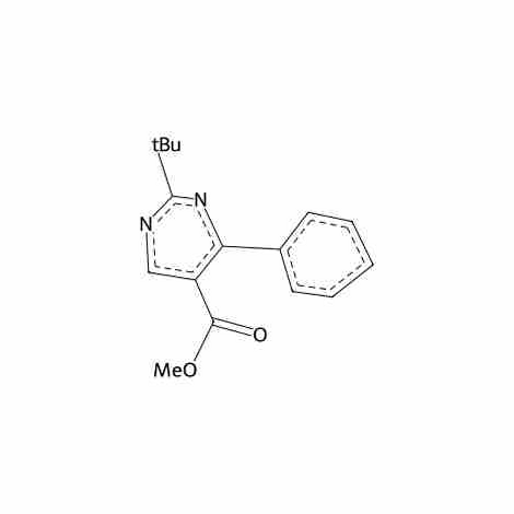 COC(=O)c1cnc(C(C)(C)C)nc1-c1ccccc1